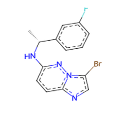 C[C@@H](Nc1ccc2ncc(Br)n2n1)c1cccc(F)c1